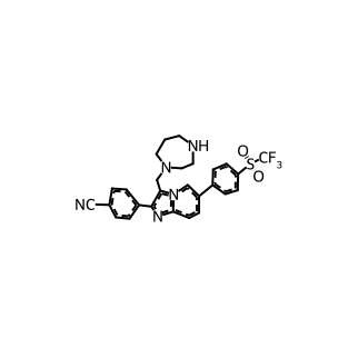 N#Cc1ccc(-c2nc3ccc(-c4ccc(S(=O)(=O)C(F)(F)F)cc4)cn3c2CN2CCCNCC2)cc1